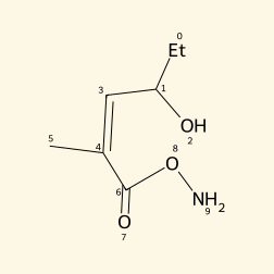 CCC(O)C=C(C)C(=O)ON